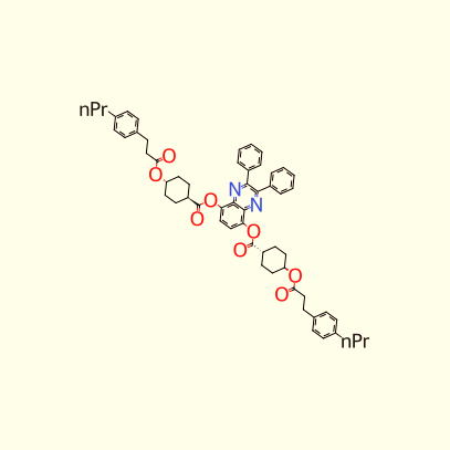 CCCc1ccc(CCC(=O)O[C@H]2CC[C@H](C(=O)Oc3ccc(OC(=O)[C@H]4CC[C@H](OC(=O)CCc5ccc(CCC)cc5)CC4)c4nc(-c5ccccc5)c(-c5ccccc5)nc34)CC2)cc1